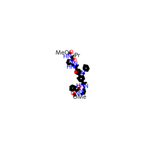 COC(=O)N[C@H](C(=O)N1CCC[C@H]1c1ncc(-c2ccc(-c3ccc(-c4cnc([C@@H]5CCCN5C(=O)[C@H](NC(=O)OC)c5ccccc5)[nH]4)cc3)c(N(C)c3ccccc3)c2)[nH]1)C(C)C